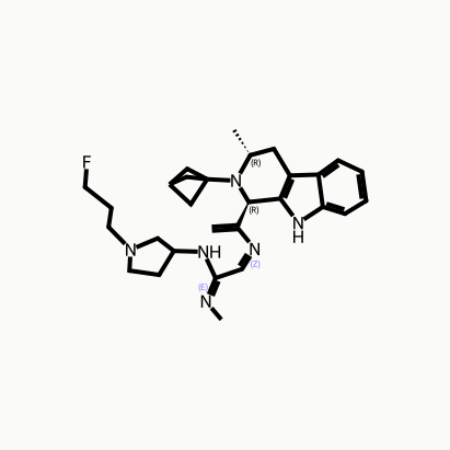 C=C(/N=C\C(=N/C)NC1CCN(CCCF)C1)[C@@H]1c2[nH]c3ccccc3c2C[C@@H](C)N1C12CC(C1)C2